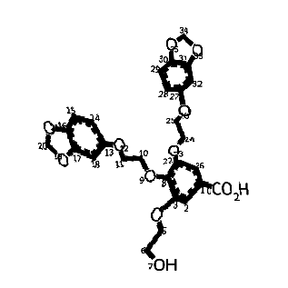 O=C(O)c1cc(OCCO)c(OCCOc2ccc3c(c2)OCO3)c(OCCOc2ccc3c(c2)OCO3)c1